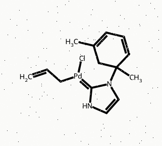 C=C[CH2][Pd]([Cl])=[c]1[nH]ccn1C1(C)C=CC=C(C)C1